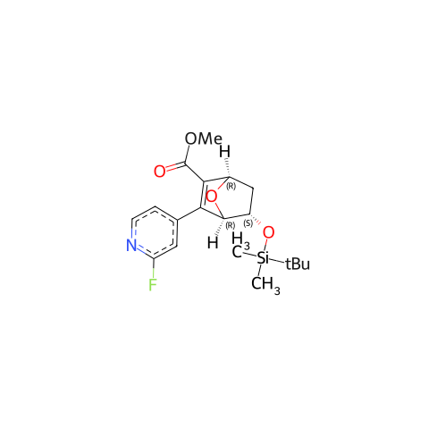 COC(=O)C1=C(c2ccnc(F)c2)[C@H]2O[C@@H]1C[C@@H]2O[Si](C)(C)C(C)(C)C